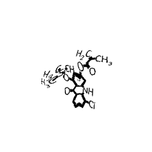 C=C(C)C(=O)Oc1cc(O[Si](C)(C)C)c2c(=O)c3cccc(Cl)c3[nH]c2c1